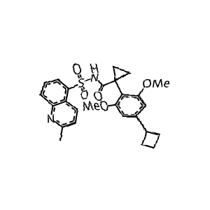 COc1cc(C2CCC2)cc(OC)c1C1(C(=O)NS(=O)(=O)c2cccc3nc(C)ccc23)CC1